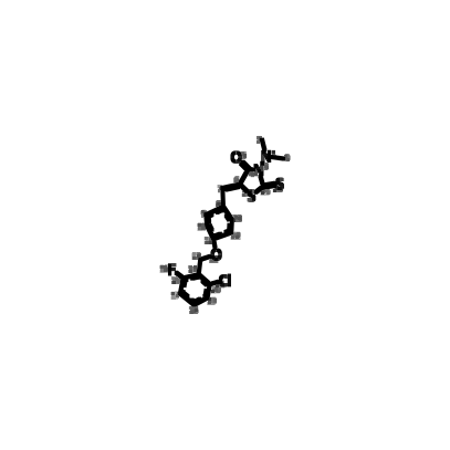 CN(C)N1C(=O)C(=Cc2ccc(OCc3c(F)cccc3Cl)cc2)SC1=S